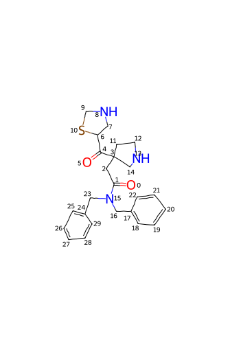 O=C(CC1(C(=O)C2CNCS2)CCNC1)N(Cc1ccccc1)Cc1ccccc1